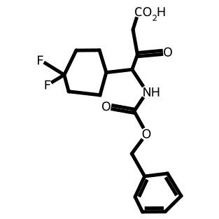 O=C(O)CC(=O)C(NC(=O)OCc1ccccc1)C1CCC(F)(F)CC1